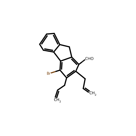 C=CCc1c(Br)c2c(c(C=O)c1CC=C)Cc1ccccc1-2